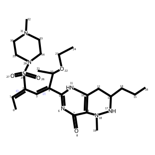 C/C=C(\C=C(\c1nc(=O)c2c([nH]1)CC(CCC)NN2C)C(C)OCC)S(=O)(=O)N1CCN(C)CC1